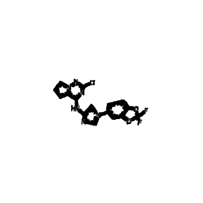 FC1(F)Oc2ccc(-n3cnc(Nc4nc(Cl)nn5cccc45)c3)cc2O1